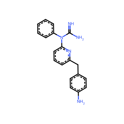 N=C(N)N(c1ccccc1)c1cccc(Cc2ccc(N)cc2)n1